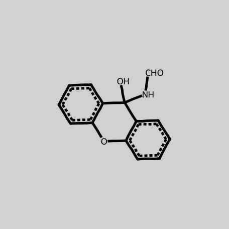 O=CNC1(O)c2ccccc2Oc2ccccc21